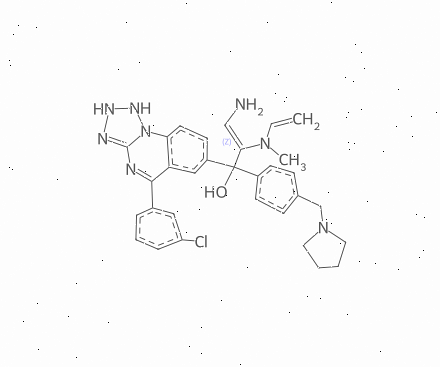 C=CN(C)/C(=C\N)C(O)(c1ccc(CN2CCCC2)cc1)c1ccc2c(c1)C(c1cccc(Cl)c1)=NC1=NNNN12